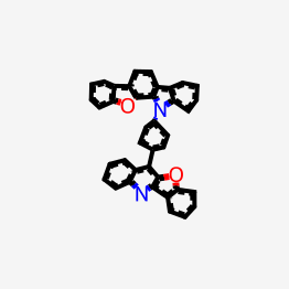 c1ccc2c(-c3ccc(-n4c5ccccc5c5ccc6c7ccccc7oc6c54)cc3)c3oc4ccccc4c3nc2c1